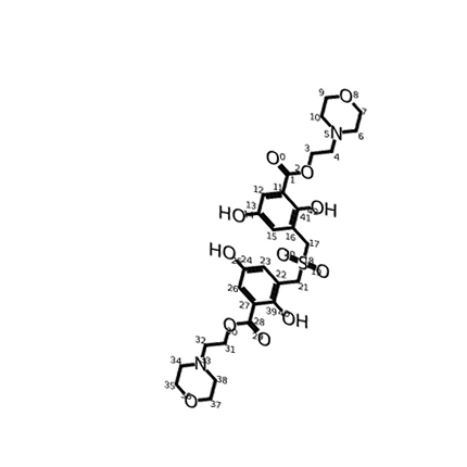 O=C(OCCN1CCOCC1)c1cc(O)cc(CS(=O)(=O)Cc2cc(O)cc(C(=O)OCCN3CCOCC3)c2O)c1O